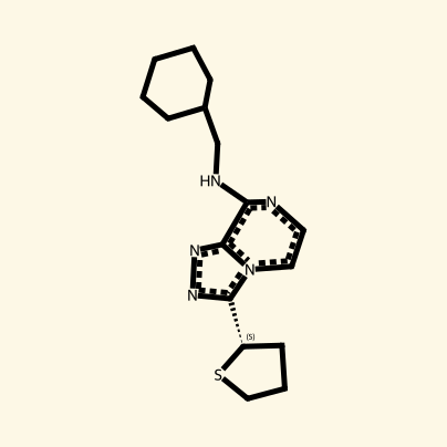 c1cn2c([C@@H]3CCCS3)nnc2c(NCC2CCCCC2)n1